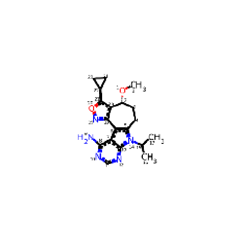 CO[C@@H]1CCc2c(c3c(N)ncnc3n2C(C)C)-c2noc(C3CC3)c21